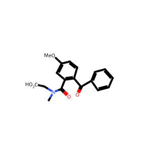 COc1ccc(C(=O)c2ccccc2)c(C(=O)N(C)CC(=O)O)c1